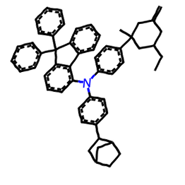 C=C1CC(CC)CC(C)(c2ccc(N(c3ccc(C4CC5CCC4C5)cc3)c3cccc4c3-c3ccccc3C4(c3ccccc3)c3ccccc3)cc2)C1